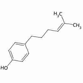 CC(C)=CCCCc1ccc(O)cc1